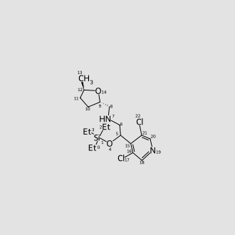 CC[Si](CC)(CC)OC(CNC[C@@H]1CC[C@@H](C)O1)c1c(Cl)cncc1Cl